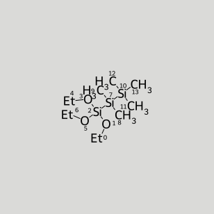 CCO[Si](OCC)(OCC)[Si](C)(C)[Si](C)(C)C